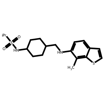 Cc1c(NCC2CCC(NS(=O)(=O)C(C)C)CC2)ccc2ccsc12